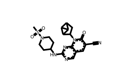 CS(=O)(=O)N1CCC(Nc2ncc3cc(C#N)c(=O)n(C4CC5C6C5C64)c3n2)CC1